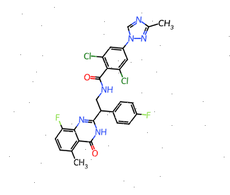 Cc1ncn(-c2cc(Cl)c(C(=O)NCC(c3ccc(F)cc3)c3nc4c(F)ccc(C)c4c(=O)[nH]3)c(Cl)c2)n1